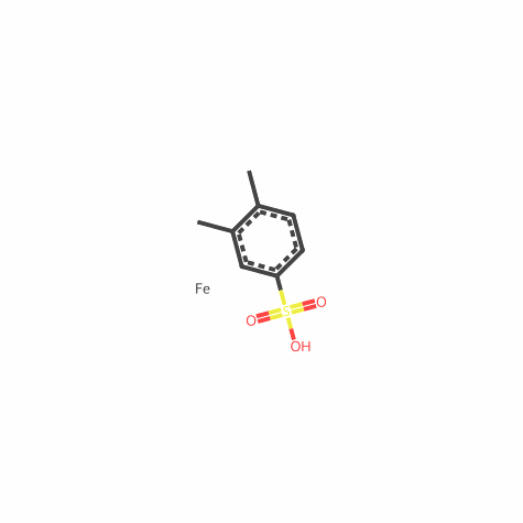 Cc1ccc(S(=O)(=O)O)cc1C.[Fe]